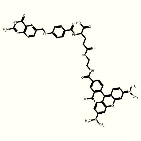 CN(C)c1ccc2c(-c3ccc(C(=O)NCCNC(=O)CCC(NC(=O)c4ccc(NCc5cnc6nc(N)[nH]c(=O)c6n5)cc4)C(=O)O)cc3C(=O)O)c3ccc(=[N+](C)C)cc-3oc2c1